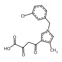 Cc1cn(Cc2cccc(Cl)c2)cc1C(=O)CC(=O)C(=O)O